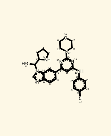 CC(C1CCCN1)n1cnc2ccc(-c3cc(Nc4ccc(Cl)cc4)nc(N4CCOCC4)n3)cc21